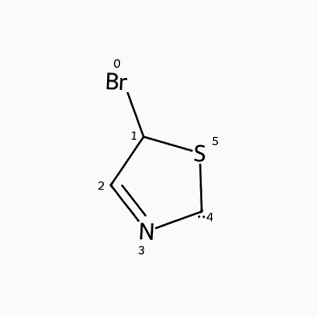 BrC1C=N[C]S1